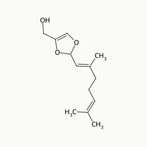 CC(C)=CCC/C(C)=C/C1OC=C(CO)O1